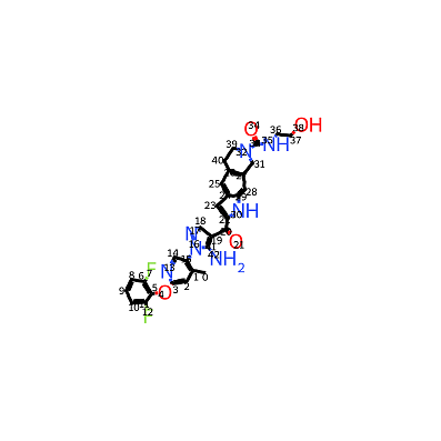 Cc1cc(Oc2c(F)cccc2F)ncc1-n1ncc(C(=O)c2cc3cc4c(cc3[nH]2)CN(C(=O)NCCO)CC4)c1N